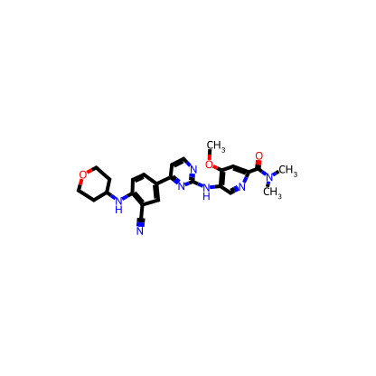 COc1cc(C(=O)N(C)C)ncc1Nc1nccc(-c2ccc(NC3CCOCC3)c(C#N)c2)n1